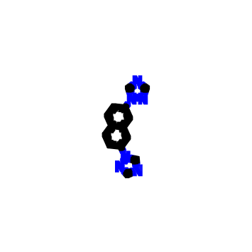 c1ncn(-c2ccc3ccc(-n4cncn4)cc3c2)n1